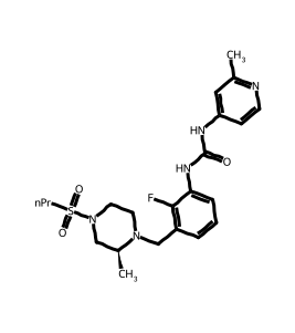 CCCS(=O)(=O)N1CCN(Cc2cccc(NC(=O)Nc3ccnc(C)c3)c2F)[C@@H](C)C1